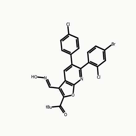 CC(C)(C)C(=O)c1oc2nc(-c3ccc(Br)cc3Cl)c(-c3ccc(Cl)cc3)cc2c1C=NO